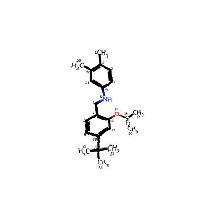 Cc1ccc(NCc2ccc(C(C)(C)C)cc2O[SiH](C)C)cc1C